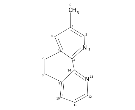 Cc1cnc2c(c1)CCc1cccnc1-2